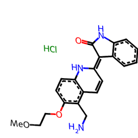 COCCOc1ccc2c(c1CN)C=CC(=C1C(=O)Nc3ccccc31)N2.Cl